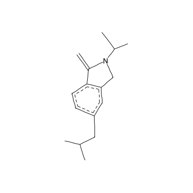 C=C1c2ccc(CC(C)C)cc2CN1C(C)C